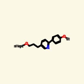 CCCCCCCOCCCc1ccc(-c2ccc(OCC)cc2)nc1